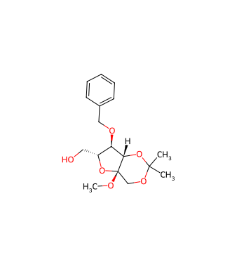 CO[C@]12COC(C)(C)O[C@H]1[C@H](OCc1ccccc1)[C@@H](CO)O2